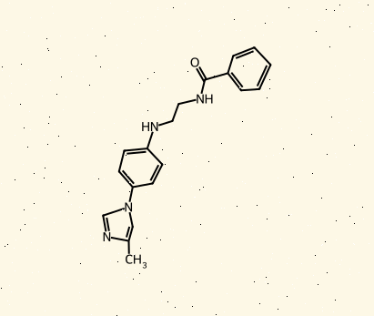 Cc1cn(-c2ccc(NCCNC(=O)c3ccccc3)cc2)cn1